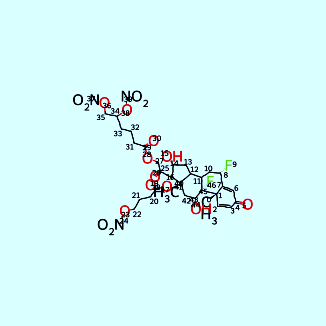 C[C@]12C=CC(=O)C=C1[C@@H](F)CC1C3C[C@@H](O)[C@](OC(=O)CCCO[N+](=O)[O-])(C(=O)COC(=O)CCCC(CO[N+](=O)[O-])O[N+](=O)[O-])[C@@]3(C)C[C@H](O)[C@@]12F